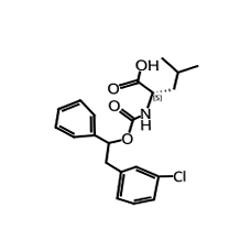 CC(C)C[C@H](NC(=O)OC(Cc1cccc(Cl)c1)c1ccccc1)C(=O)O